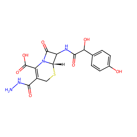 NNC(=O)C1=C(C(=O)O)N2C(=O)C(NC(=O)C(O)c3ccc(O)cc3)[C@@H]2SC1